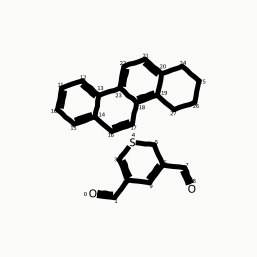 O=CC1=CSCC(C=O)=C1.c1ccc2c(c1)ccc1c3c(ccc12)CCCC3